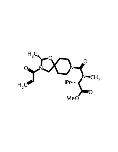 C=CC(=O)N1CC2(CCN(C(=O)N(C)[C@H](C(=O)OC)C(C)C)CC2)O[C@@H]1C